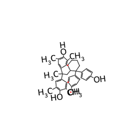 Cc1cc(C(C)(CC2CCCCC2(c2ccc(O)cc2)c2ccc(O)cc2)c2cc(C)c(O)c(C)c2)cc(C)c1O